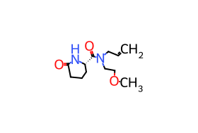 C=CCN(CCOC)C(=O)[C@@H]1CCCC(=O)N1